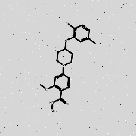 COc1cc(N2CCC(Oc3cc(F)ccc3Cl)CC2)ccc1C(=O)NN